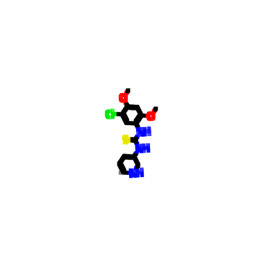 COc1cc(OC)c(NC(=S)NC2=CC=[C]NC2)cc1Cl